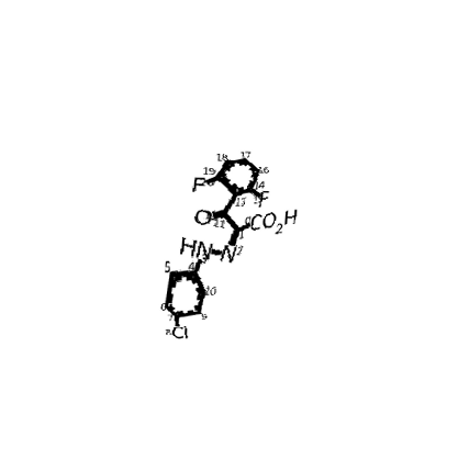 O=C(O)C(=NNc1ccc(Cl)cc1)C(=O)c1c(F)cccc1F